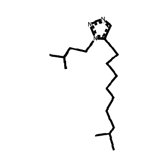 CC(C)CCCCCCCc1cnnn1CCC(C)C